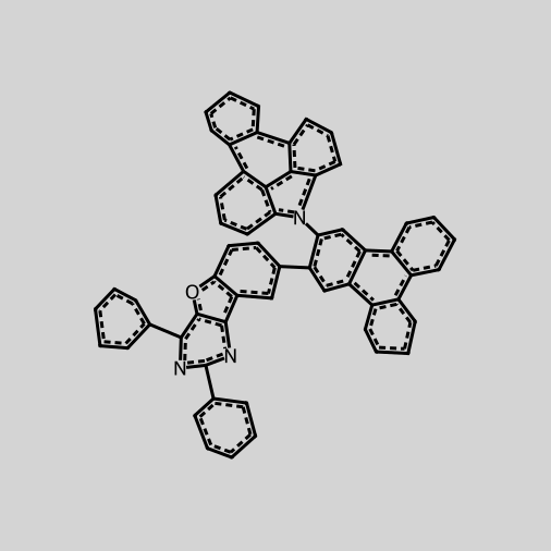 c1ccc(-c2nc(-c3ccccc3)c3oc4ccc(-c5cc6c7ccccc7c7ccccc7c6cc5-n5c6cccc7c8ccccc8c8cccc5c8c76)cc4c3n2)cc1